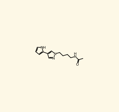 CC(=O)NCCCCn1cc(-c2ccc[nH]2)cn1